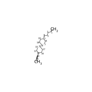 C=CCCC[C@H]1CC[C@H]([C@H]2CC[C@H](C#CC)CC2)CC1